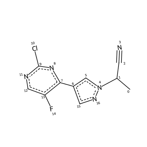 CC(C#N)n1cc(-c2nc(Cl)ncc2F)cn1